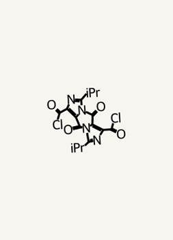 CC(C)c1nc(C(=O)Cl)c2c(=O)n3c(C(C)C)nc(C(=O)Cl)c3c(=O)n12